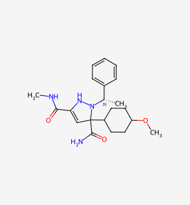 CNC(=O)C1=CC(C(N)=O)(C2CCC(OC)CC2)N([C@@H](C)c2ccccc2)N1